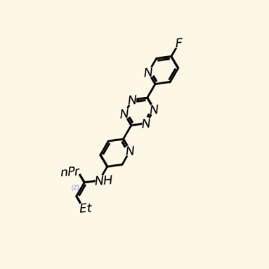 CC/C=C(/CCC)NC1C=CC(c2nnc(-c3ccc(F)cn3)nn2)=NC1